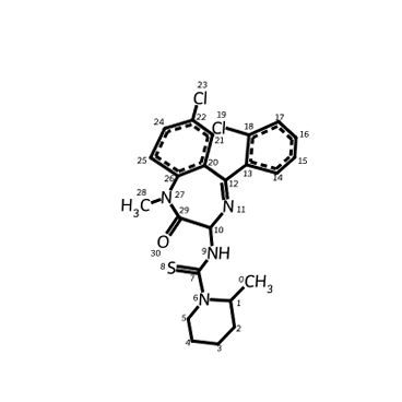 CC1CCCCN1C(=S)NC1N=C(c2ccccc2Cl)c2cc(Cl)ccc2N(C)C1=O